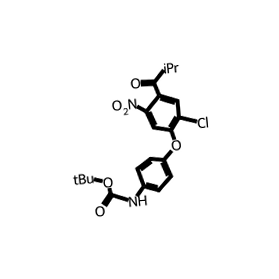 CC(C)C(=O)c1cc(Cl)c(Oc2ccc(NC(=O)OC(C)(C)C)cc2)cc1[N+](=O)[O-]